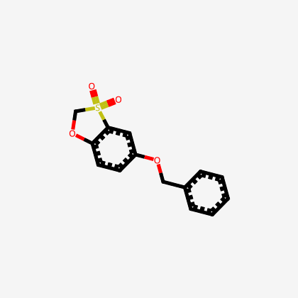 O=S1(=O)COc2ccc(OCc3ccccc3)cc21